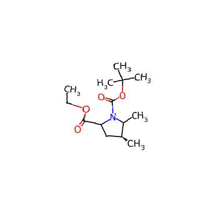 CCOC(=O)C1C[C@H](C)C(C)N1C(=O)OC(C)(C)C